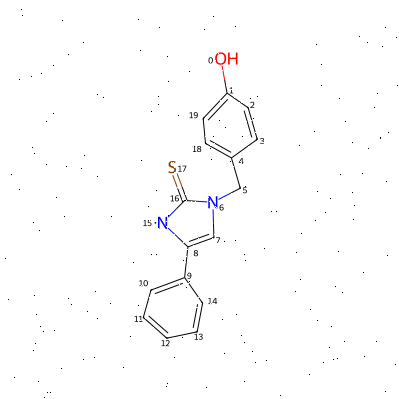 Oc1ccc(CN2C=C(c3ccccc3)[N]C2=S)cc1